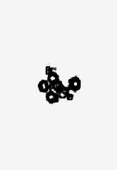 CC1=C([P+](C2=CCC=CC2)(C2=CCC=CC2)C2=CCC=CC2)OC(=O)C1c1ccccc1.[Br-]